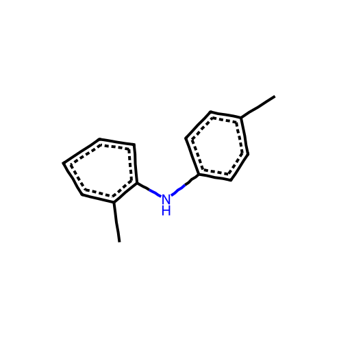 Cc1ccc(Nc2ccccc2C)cc1